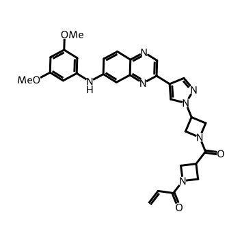 C=CC(=O)N1CC(C(=O)N2CC(n3cc(-c4cnc5ccc(Nc6cc(OC)cc(OC)c6)cc5n4)cn3)C2)C1